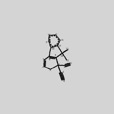 C#CC1(C#C)CC=CC2=C1C(C)(C)c1ccccc12